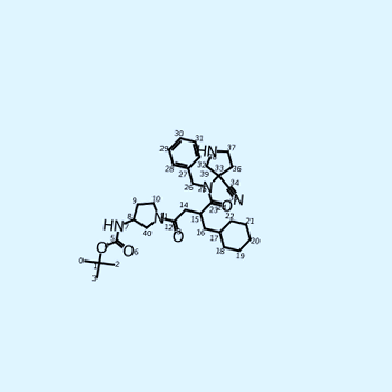 CC(C)(C)OC(=O)NC1CCN(C(=O)CC(CC2CCCCC2)C(=O)N(Cc2ccccc2)C2(C#N)CCNC2)C1